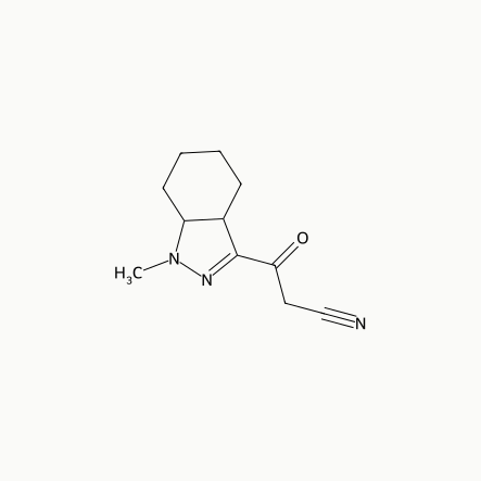 CN1N=C(C(=O)CC#N)C2CCCCC21